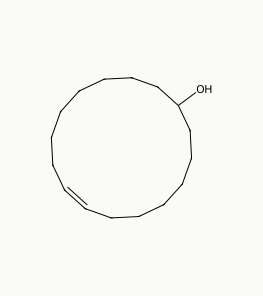 OC1CCCCCCC=CCCCCCCC1